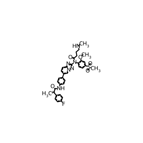 CNCCCC(=O)N(c1nc2ccc(-c3ccc(NC(=O)[C@H](C)c4ccc(F)cc4)cc3)cn2n1)c1ccc(S(C)(=O)=O)cc1OC